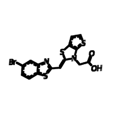 O=C(O)CN1/C(=C/c2nc3cc(Br)ccc3s2)Sc2ccsc21